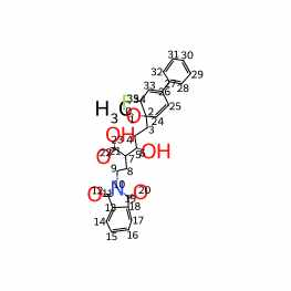 COC1(CCC(O)C(CCN2C(=O)c3ccccc3C2=O)C(=O)O)C=CC(c2ccccc2)=CC1F